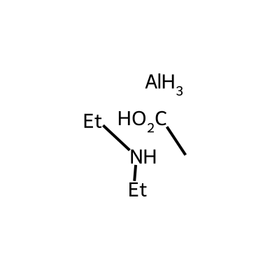 CC(=O)O.CCNCC.[AlH3]